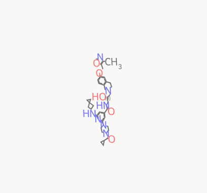 Cc1ncoc1COc1ccc2c(c1)CCN(C[C@@H](O)CNC(=O)c1cc(NC3CC4(CC4)C3)nc(N3CCN(C(=O)C4CC4)CC3)c1)C2